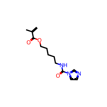 C=C(C)C(=O)OCCCCCNC(=O)n1ccnc1